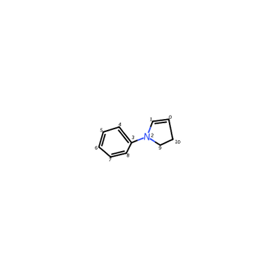 C1=CN(c2ccccc2)CC1